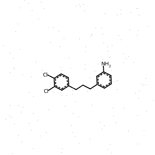 Nc1cccc(CCCc2ccc(Cl)c(Cl)c2)c1